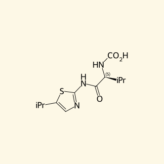 CC(C)c1cnc(NC(=O)[C@@H](NC(=O)O)C(C)C)s1